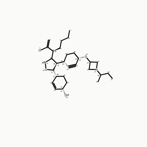 C=C(Cl)[C@@H](CCCC)C1NOC([C@H]2C=C[C@@H](O)CC2)[C@@H]1[C@H]1C#C[C@@H](OC2CN(C(C)CC)C2)CC1